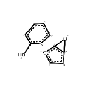 Oc1ccccc1.c1cc2c(o1)O2